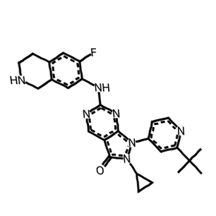 CC(C)(C)c1cc(-n2c3nc(Nc4cc5c(cc4F)CCNC5)ncc3c(=O)n2C2CC2)ccn1